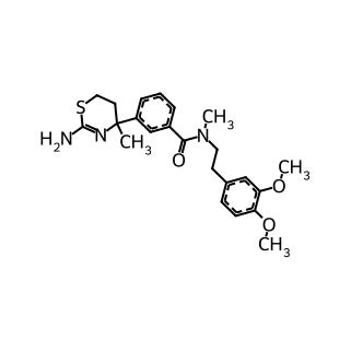 COc1ccc(CCN(C)C(=O)c2cccc(C3(C)CCSC(N)=N3)c2)cc1OC